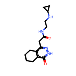 O=C(Cc1n[nH]c(=O)c2c1CCCC2)NCCNC1CC1